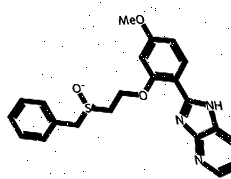 COc1ccc(-c2nc3ncccc3[nH]2)c(OCC[S+]([O-])Cc2ccccc2)c1